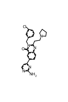 Nc1nccc(-c2ccc3nc(CCN4CCCC4)n(Cc4cccc(Cl)c4)c(=O)c3c2)n1